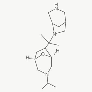 CC(C)N1C[C@H]2CC(C(C)(C)N3CC4CNCC3C4)[C@@H](C1)O2